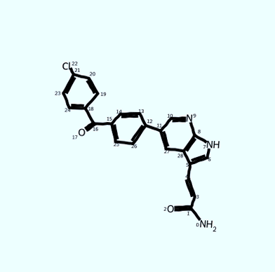 NC(=O)C=Cc1c[nH]c2ncc(-c3ccc(C(=O)c4ccc(Cl)cc4)cc3)cc12